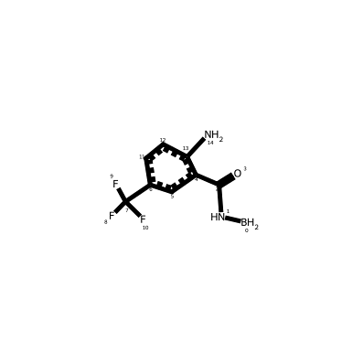 BNC(=O)c1cc(C(F)(F)F)ccc1N